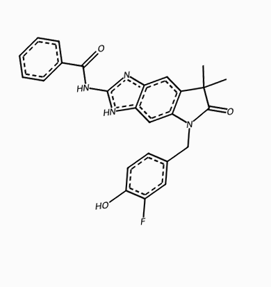 CC1(C)C(=O)N(Cc2ccc(O)c(F)c2)c2cc3[nH]c(NC(=O)c4ccccc4)nc3cc21